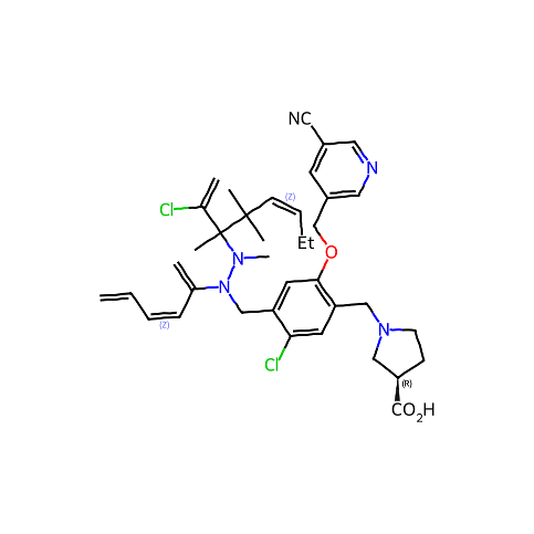 C=C/C=C\C(=C)N(Cc1cc(OCc2cncc(C#N)c2)c(CN2CC[C@@H](C(=O)O)C2)cc1Cl)N(C)C(C)(C(=C)Cl)C(C)(C)/C=C\CC